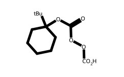 CC(C)(C)C1(OC(=O)OOC(=O)O)CCCCC1